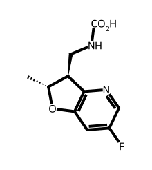 C[C@H]1Oc2cc(F)cnc2[C@@H]1CNC(=O)O